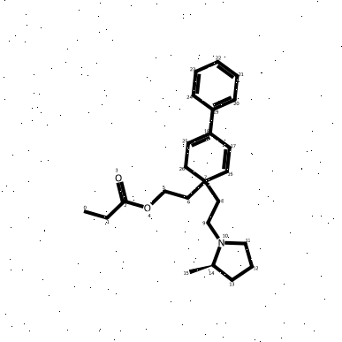 CCC(=O)OCCC1(CCN2CCC[C@H]2C)C=CC(c2ccccc2)=CC1